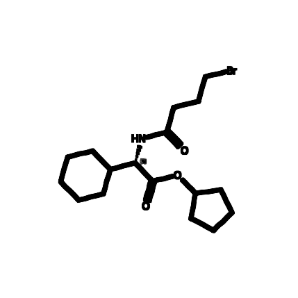 O=C(CCCBr)N[C@H](C(=O)OC1CCCC1)C1CCCCC1